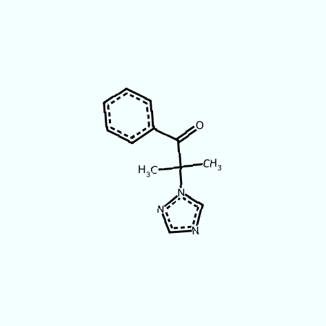 CC(C)(C(=O)c1ccccc1)n1cncn1